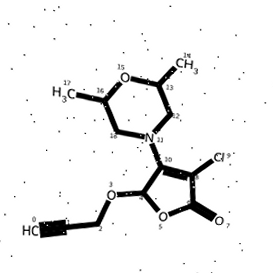 C#CCOC1OC(=O)C(Cl)=C1N1CC(C)OC(C)C1